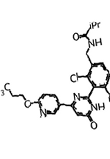 CC(C)C(=O)NCc1ccc(F)c(-c2nc(-c3ccc(OCCC(F)(F)F)nc3)cc(=O)[nH]2)c1Cl